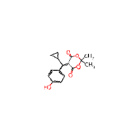 CC1(C)OC(=O)C(=C(c2ccc(O)cc2)C2CC2)C(=O)O1